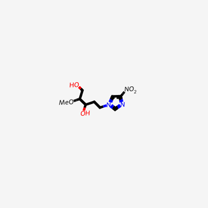 COC(CO)C(O)CCn1cnc([N+](=O)[O-])c1